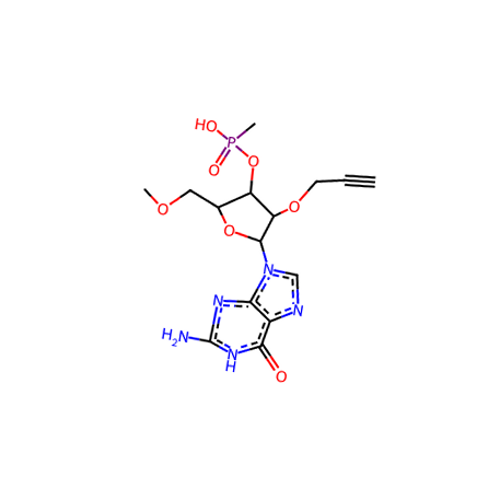 C#CCOC1C(OP(C)(=O)O)C(COC)OC1n1cnc2c(=O)[nH]c(N)nc21